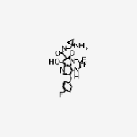 CN(CC1(N)CC1)C(=O)c1c(O)c2ncc(Cc3ccc(F)cc3)c3c2n(c1=O)CC(F)(F)CN3